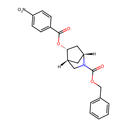 O=C(O[C@@H]1C[C@H]2C[C@@H]1CN2C(=O)OCc1ccccc1)c1ccc([N+](=O)[O-])cc1